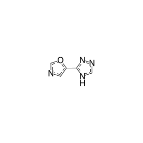 c1nnc(-c2cnco2)[nH]1